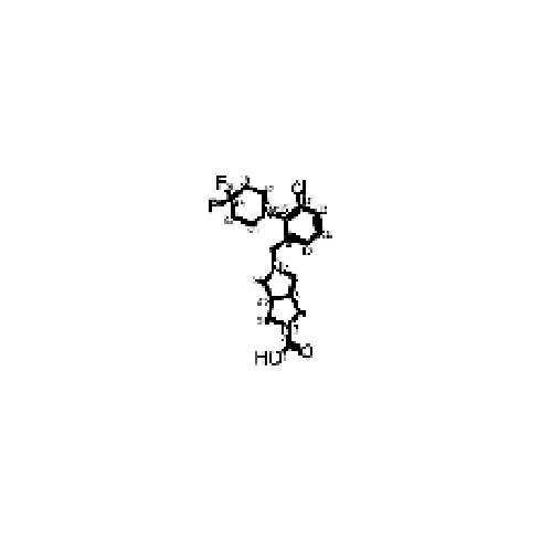 O=C(O)N1CC2CN(Cc3cccc(Cl)c3N3CCC(F)(F)CC3)CC2C1